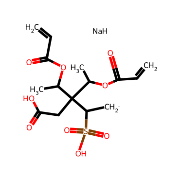 [CH2]C(C(CC(=O)O)(C(C)OC(=O)C=C)C(C)OC(=O)C=C)S(=O)(=O)O.[NaH]